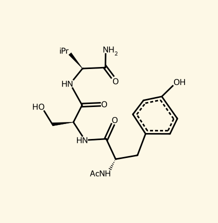 CC(=O)N[C@@H](Cc1ccc(O)cc1)C(=O)N[C@@H](CO)C(=O)N[C@H](C(N)=O)C(C)C